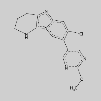 COc1ncc(-c2cn3c4c(nc3cc2Cl)CCCN4)cn1